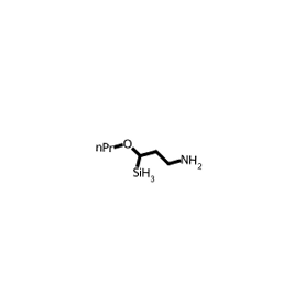 CCCOC([SiH3])CCN